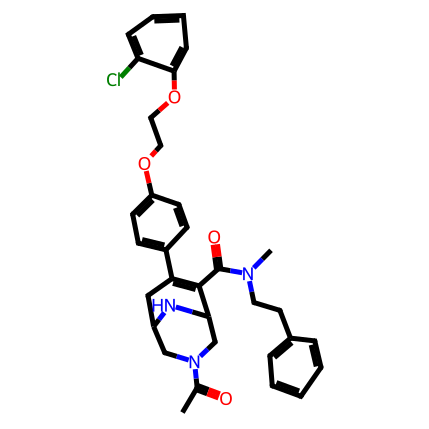 CC(=O)N1CC2CC(c3ccc(OCCOc4ccccc4Cl)cc3)=C(C(=O)N(C)CCc3ccccc3)C(C1)N2